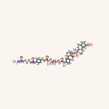 CC1(C(=O)NC(=O)[C@@]2(C)CCCC3(C)c4cc(NC(=O)COCNC(=O)CNC(=O)OCc5ccc(NC(=O)CCCCNC(N)=O)cc5)ccc4CCC32)CCCC2c3cc(O)ccc3CCC21